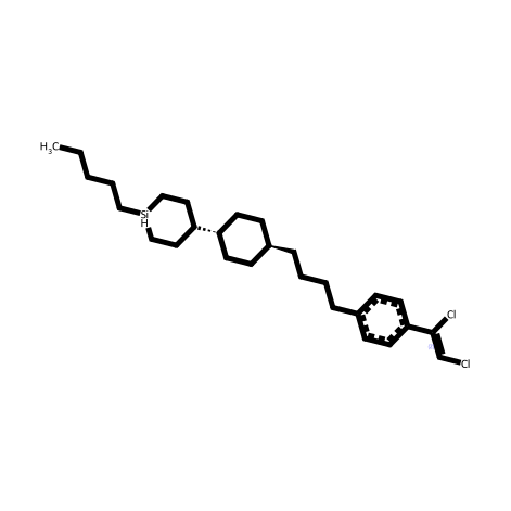 CCCCC[SiH]1CCC([C@H]2CC[C@H](CCCCc3ccc(/C(Cl)=C/Cl)cc3)CC2)CC1